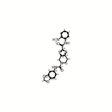 Nc1ccccc1NC(=O)c1nc2c(s1)CN(C(=O)Nc1ccc3c(c1)OCO3)CC2